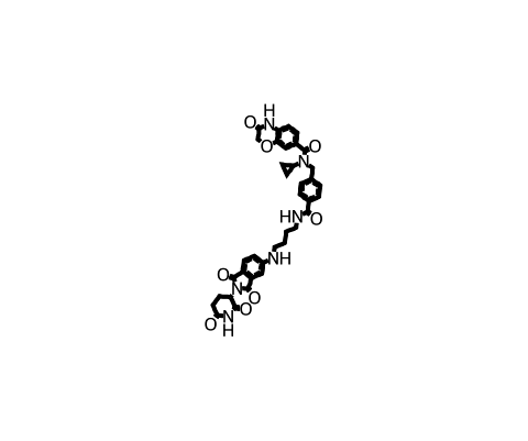 O=C1CCC(N2C(=O)c3ccc(NCCCCNC(=O)c4ccc(CN(C(=O)c5ccc6c(c5)OCC(=O)N6)C5CC5)cc4)cc3C2=O)C(=O)N1